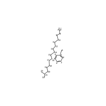 Cc1ccccc1.[Li][CH2]CCCCCCCCCCCCC(C)C